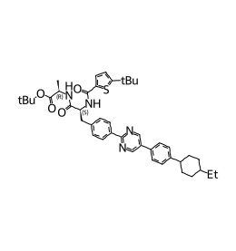 CCC1CCC(c2ccc(-c3cnc(-c4ccc(C[C@H](NC(=O)c5ccc(C(C)(C)C)s5)C(=O)N[C@H](C)C(=O)OC(C)(C)C)cc4)nc3)cc2)CC1